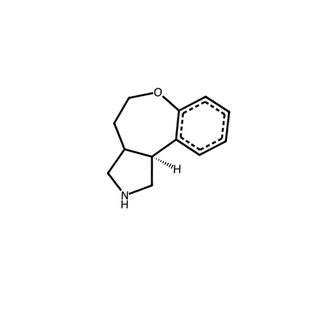 c1ccc2c(c1)OCCC1CNC[C@H]21